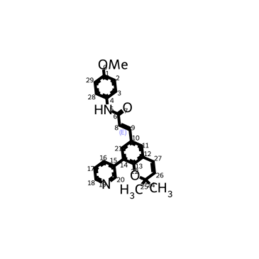 COc1ccc(NC(=O)/C=C/c2cc3c(c(-c4cccnc4)c2)OC(C)(C)C=C3)cc1